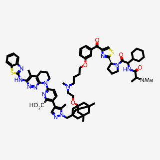 CNC(C)C(=O)NC(C(=O)N1CCC[C@H]1c1nc(C(=O)c2cccc(OCCCCN(C)CCOC34CC5(C)CC(C)(CC(Cn6ncc(-c7ccc(N8CCCc9c8nnc(Nc8nc%10ccccc%10s8)c9C)nc7C(=O)O)c6C)(C5)C3)C4)c2)cs1)C1CCCCC1